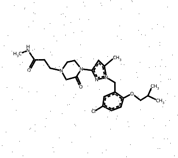 CNC(=O)CCN1CCN(c2cc(C)n(Cc3cc(Cl)ccc3OCC(C)C)n2)C(=O)C1